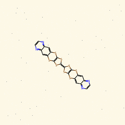 c1cnc2cc3c(cc2n1)SC1=C(SC(=C2SC4=C(S2)Sc2cc5nccnc5cc2S4)S1)S3